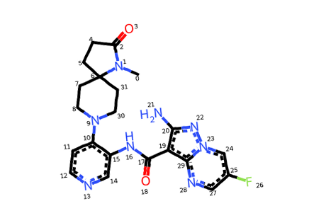 CN1C(=O)CCC12CCN(c1ccncc1NC(=O)c1c(N)nn3cc(F)cnc13)CC2